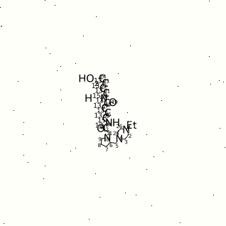 CCN1CCN(CC2CCCN2C[13C](=O)[15NH][13CH2][13CH2][13CH2][13C](=O)[15NH][13CH2][13CH2][13CH2][13C](=O)O)CC1